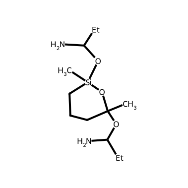 CCC(N)OC1(C)CCC[Si](C)(OC(N)CC)O1